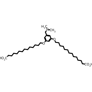 CN(C)Cc1cc(OCCCCCCCCCCCCCC(=O)O)cc(OCCCCCCCCCCCCCC(=O)O)c1